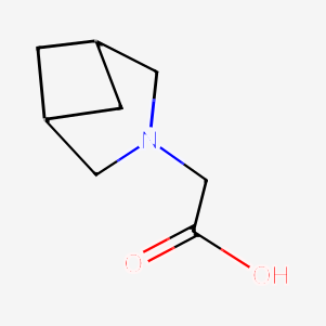 O=C(O)CN1CC2CC(C2)C1